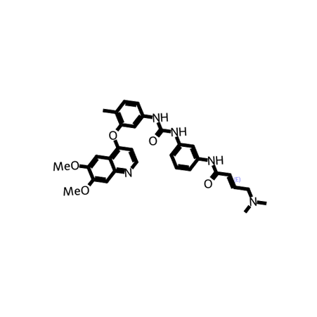 COc1cc2nccc(Oc3cc(NC(=O)Nc4cccc(NC(=O)/C=C/CN(C)C)c4)ccc3C)c2cc1OC